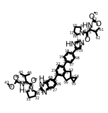 COC(=O)N[C@H](C(=O)N1CCC[C@H]1c1ncc(-c2ccc(-c3ccc(-c4ccc5nc([C@@H]6CCCN6C(=O)[C@@H](NC(=O)OC)C(C)C)[nH]c5c4)c4c3CC3(CC3)C4)cc2)[nH]1)C(C)C